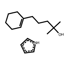 CC(C)(O)CCCC1=CCCCC1.c1cc[nH]c1